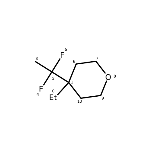 CCC1(C(C)(F)F)CCOCC1